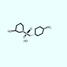 Cl.N[C@H]1CC[C@H](CS(=O)(=O)N2CCCC(O)C2)CC1